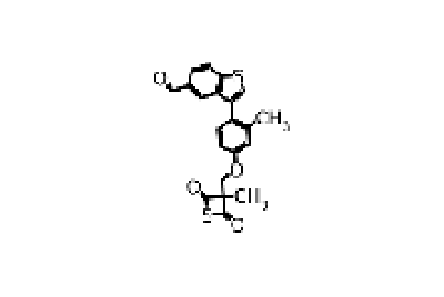 Cc1cc(OCC2(C)C(=O)SC2=O)ccc1-c1csc2ccc(C=O)cc12